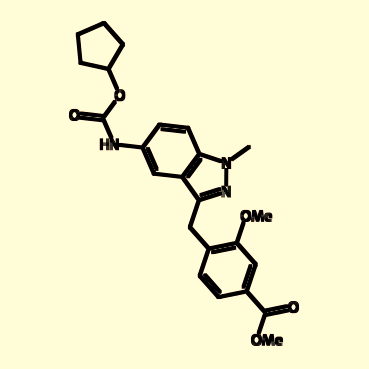 COC(=O)c1ccc(Cc2nn(C)c3ccc(NC(=O)OC4CCCC4)cc23)c(OC)c1